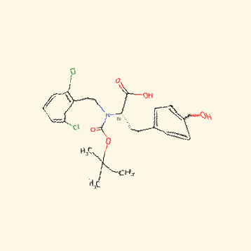 CC(C)(C)OC(=O)N(Cc1c(Cl)cccc1Cl)[C@@H](Cc1ccc(O)cc1)C(=O)O